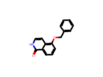 O=c1[nH]ccc2c(OCc3ccccc3)cccc12